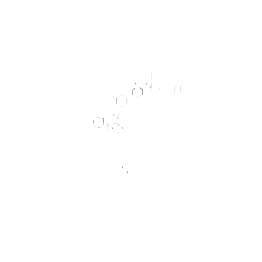 O=C(O)Nc1ccc(-c2cccc(C(=O)Nc3nc(CCCCCCN4CCCCC4)cn3-c3ccccc3)c2)cn1